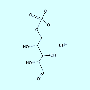 O=C[C@H](O)[C@H](O)[C@H](O)COP(=O)([O-])[O-].[Ba+2]